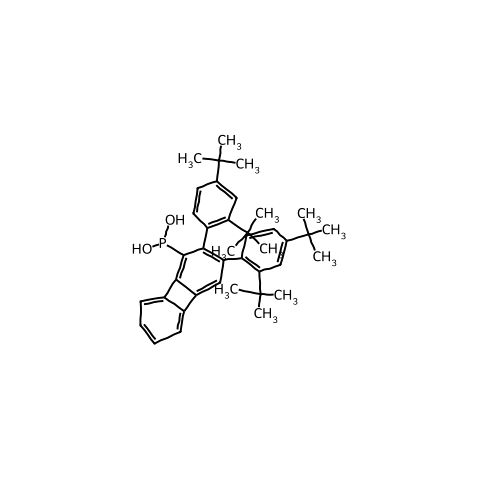 CC(C)(C)c1ccc(-c2cc3c(c(P(O)O)c2-c2ccc(C(C)(C)C)cc2C(C)(C)C)-c2ccccc2-3)c(C(C)(C)C)c1